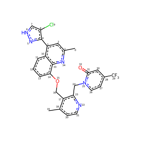 Cc1cc(-c2n[nH]cc2Cl)c2cccc(OCc3c(C)ccnc3Cn3ccc(C(F)(F)F)cc3=O)c2n1